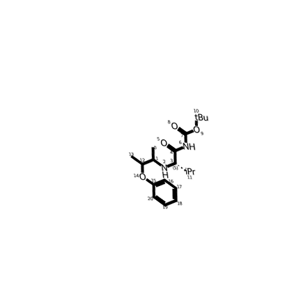 CC(N[C@H](C(=O)NC(=O)OC(C)(C)C)C(C)C)C(C)Oc1ccccc1